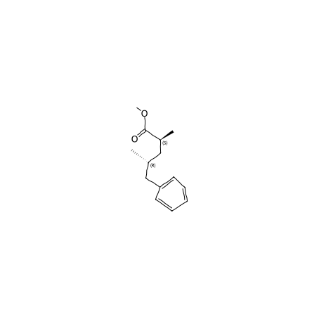 COC(=O)[C@@H](C)C[C@@H](C)Cc1ccccc1